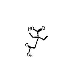 CCC(CC)(CC(=O)O)C(=O)O